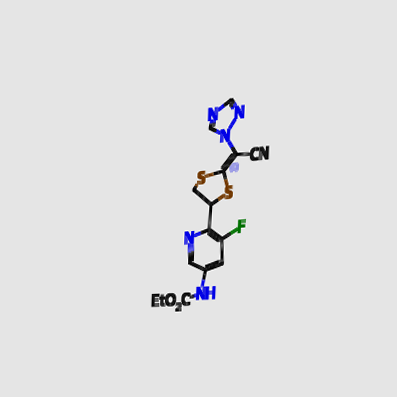 CCOC(=O)Nc1cnc(C2CS/C(=C(/C#N)n3cncn3)S2)c(F)c1